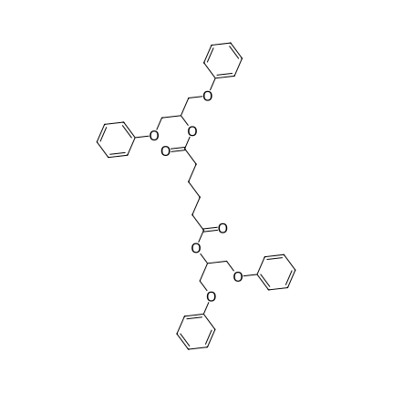 O=C(CCCCC(=O)OC(COc1ccccc1)COc1ccccc1)OC(COc1ccccc1)COc1ccccc1